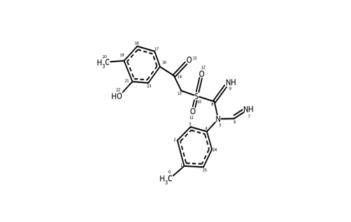 Cc1ccc(N(C=N)C(=N)S(=O)(=O)CC(=O)c2ccc(C)c(O)c2)cc1